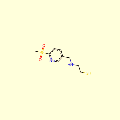 CS(=O)(=O)c1ccc(CNCCS)cn1